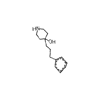 OC1(CCCc2ccccc2)CCNCC1